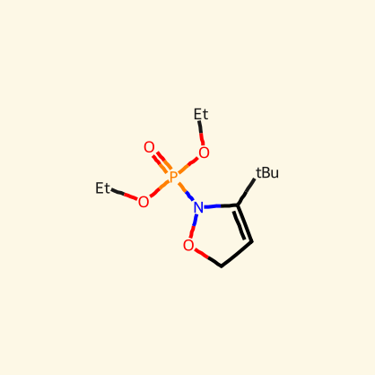 CCOP(=O)(OCC)N1OCC=C1C(C)(C)C